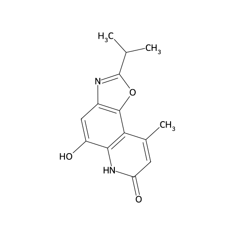 Cc1cc(=O)[nH]c2c(O)cc3nc(C(C)C)oc3c12